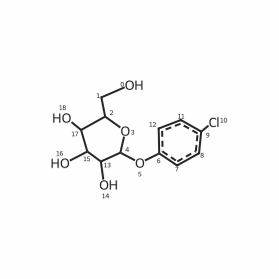 OCC1OC(Oc2ccc(Cl)cc2)C(O)C(O)C1O